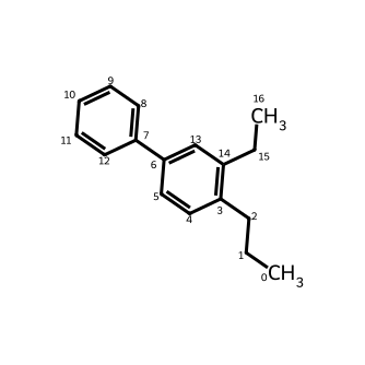 CCCc1ccc(-c2ccccc2)cc1CC